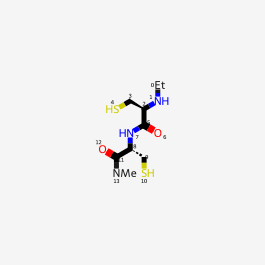 CCN[C@H](CS)C(=O)N[C@H](CS)C(=O)NC